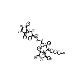 C=C=C=C=C(C(=O)OCCOC(=O)CN1C(=O)C=CC1=O)N1C(=O)CC(C)C1=O